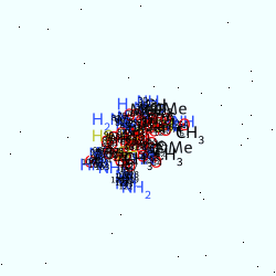 C=C1NC(=O)C(C)=CN1[C@@H]1O[C@H](COP(=O)(S)O[C@@H]2C(OCCOC)[C@H](n3cc(C)c(N)nc3=O)O[C@@H]2COP(=O)(S)O[C@@H]2C(OCCOC)[C@H](n3cc(C)c(=O)[nH]c3=O)O[C@@H]2COP(=O)(O)O[C@@H]2C(OCCOC)[C@H](n3cnc4c(=O)[nH]c(N)nc43)O[C@@H]2COP(=O)(S)O[C@@H]2C[C@H](n3cnc4c(=O)[nH]c(N)nc43)O[C@@H]2COP(=O)(S)O[C@@H]2C[C@H](n3cnc4c(N)ncnc43)O[C@@H]2C)[C@H](O)C1OCCOC